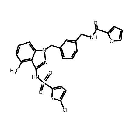 Cc1cccc2c1c(NS(=O)(=O)c1ccc(Cl)s1)nn2Cc1cccc(CNC(=O)c2ccco2)c1